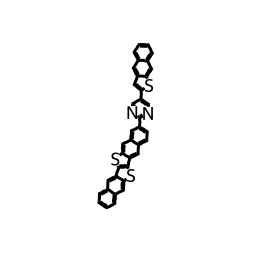 c1ccc2cc3sc(-c4cnc(-c5ccc6cc7c(cc6c5)sc5c6cc8ccccc8cc6sc75)nc4)cc3cc2c1